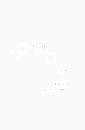 CC(C)[C@](C)(NC(=O)c1ncc(-c2ccc(NC(=O)Nc3ccc4c(c3)CCC4)cc2)o1)C(=O)O